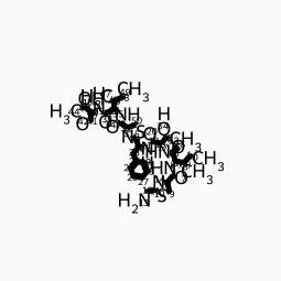 CC[C@H](C)[C@H](NC(=O)C1CSC(CN)=N1)C(=O)NC(C(=O)NC(Cc1ccccc1)C1=NC(C(=O)N[C@H](C(=O)N[C@H](C=O)[C@@H](C)O)[C@@H](C)CC)CS1)[C@@H](C)O